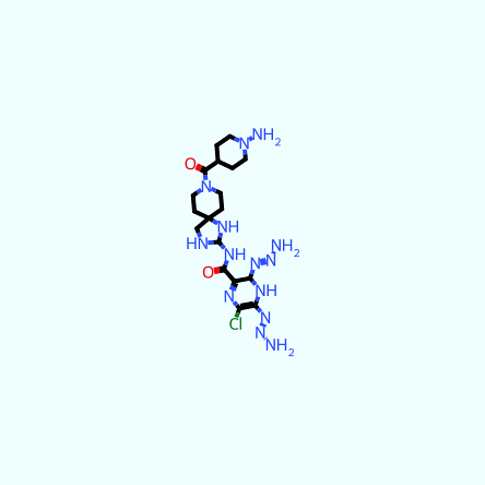 NN=NC1=C(Cl)N=C(C(=O)NC2NCC3(CCN(C(=O)C4CCN(N)CC4)CC3)N2)C(N=NN)N1